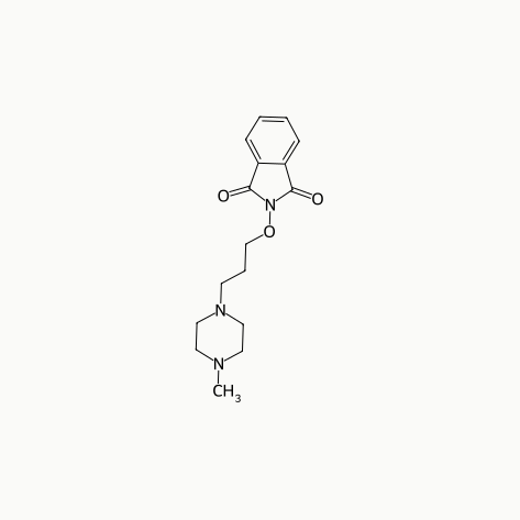 CN1CCN(CCCON2C(=O)c3ccccc3C2=O)CC1